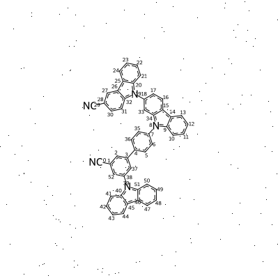 N#Cc1cc(-c2ccc(-n3c4ccccc4c4ccc(-n5c6ccccc6c6cc(C#N)ccc65)cc43)cc2)cc(-n2c3ccccc3c3ccccc32)c1